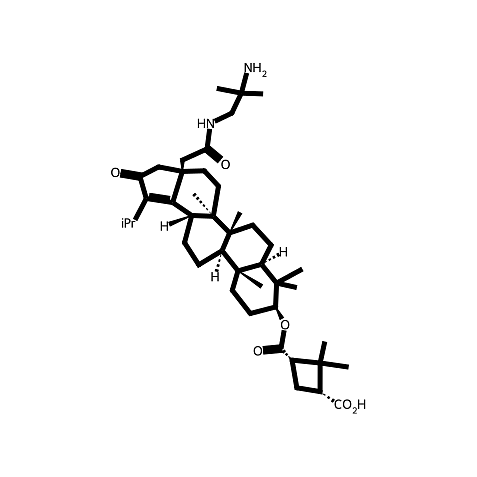 CC(C)C1=C2[C@H]3CC[C@@H]4[C@@]5(C)CC[C@H](OC(=O)[C@H]6C[C@@H](C(=O)O)C6(C)C)C(C)(C)[C@@H]5CC[C@@]4(C)[C@]3(C)CC[C@@]2(CC(=O)NCC(C)(C)N)CC1=O